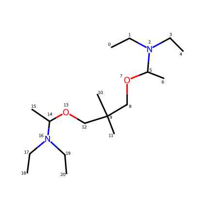 CCN(CC)C(C)OCC(C)(C)COC(C)N(CC)CC